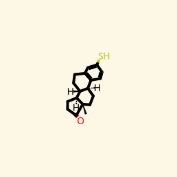 C[C@]12CC[C@@H]3c4ccc(S)cc4CC[C@H]3[C@@H]1CCC2=O